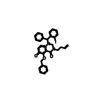 C=CCCN1CN(C(c2ccccc2)c2ccccc2I)n2ccc(=O)c(OCc3ccccc3)c2C1=O